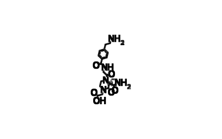 CC[C@]1(C(N)=O)C(=O)N(CC(=O)O)CCN1C(=O)CNC(=O)c1ccc(CCN)cc1